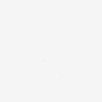 Cn1c(CNC(=O)OC(C)(C)C)c(C#N)c2ccc(-c3cccc4ccccc34)cc21